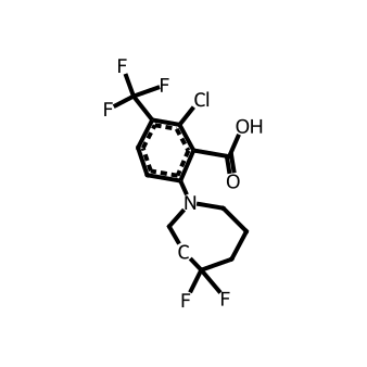 O=C(O)c1c(N2CCCC(F)(F)CC2)ccc(C(F)(F)F)c1Cl